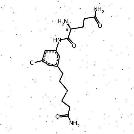 NC(=O)CCCCCc1cc(Cl)cc(NC(=O)[C@@H](N)CCC(N)=O)c1